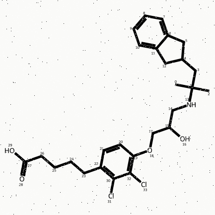 CC(C)(CC1Cc2ccccc2C1)NCC(O)COc1ccc(CCCCC(=O)O)c(Cl)c1Cl